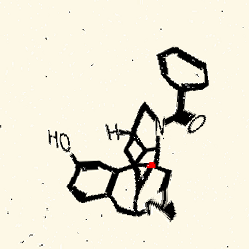 CN1CCC23c4cc(O)ccc4CC1C21CCC2C3[C@@H](CN2C(=O)c2ccccc2)C1